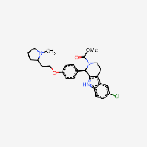 COC(=O)N1CCc2c([nH]c3ccc(Cl)cc23)C1c1ccc(OCCC2CCCN2C)cc1